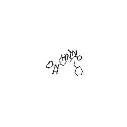 C=C1N[C@](CCC2CCCCC2)(C[C@H]2CCC[C@@H](Nc3ccccc3)C2)C(=O)N1C